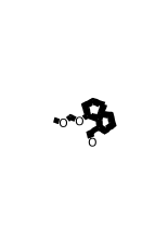 COCOc1cccc2cccc(C=O)c12